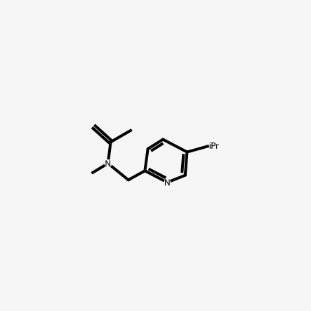 C=C(C)N(C)Cc1ccc(C(C)C)cn1